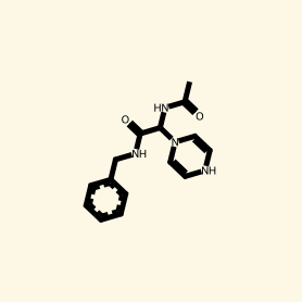 CC(=O)NC(C(=O)NCc1ccccc1)N1C=CNC=C1